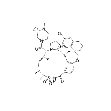 C[C@@H]1[C@@H](C)C/C=C(\F)[C@H](C(=O)N2CCN(C)C3(CC3)C2)N2CCC[C@H]2CN2C[C@@]3(CCCc4cc(Cl)ccc43)COc3ccc(cc32)C(=O)NS1(=O)=O